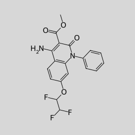 COC(=O)c1c(N)c2ccc(OC(F)C(F)F)cc2n(-c2ccccc2)c1=O